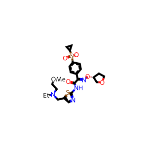 CCN(CCOC)Cc1cnc(NC(=O)/C(=N/O[C@@H]2CCOC2)c2ccc(S(=O)(=O)C3CC3)cc2)s1